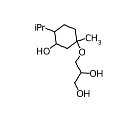 CC(C)C1CCC(C)(OCC(O)CO)CC1O